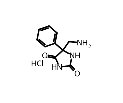 Cl.NCC1(c2ccccc2)NC(=O)NC1=O